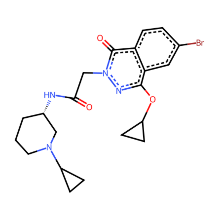 O=C(Cn1nc(OC2CC2)c2cc(Br)ccc2c1=O)N[C@H]1CCCN(C2CC2)C1